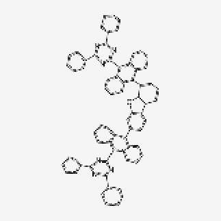 C1=CC2c3ccc(-c4c5ccccc5c(-c5nc(-c6ccccc6)nc(-c6ccccc6)n5)c5ccccc45)cc3OC2C(c2c3ccccc3c(-c3nc(-c4ccccc4)nc(-c4ccccc4)n3)c3ccccc23)=C1